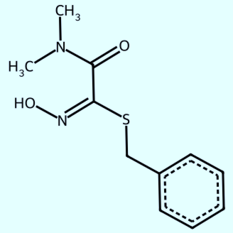 CN(C)C(=O)C(=NO)SCc1ccccc1